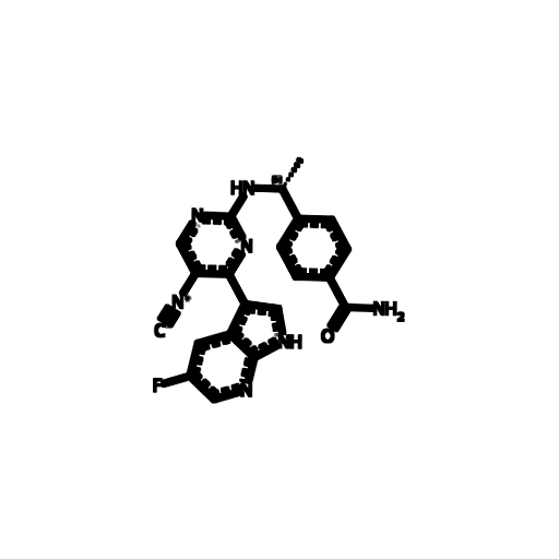 [C-]#[N+]c1cnc(N[C@H](C)c2ccc(C(N)=O)cc2)nc1-c1c[nH]c2ncc(F)cc12